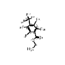 CCOC(=O)c1c(F)c(F)c(C(F)(F)F)c(F)c1F